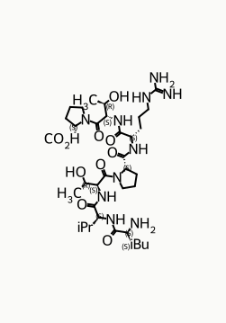 CC[C@H](C)[C@H](N)C(=O)N[C@H](C(=O)N[C@H](C(=O)N1CCC[C@H]1C(=O)N[C@@H](CCCNC(=N)N)C(=O)N[C@H](C(=O)N1CCC[C@H]1C(=O)O)[C@@H](C)O)[C@@H](C)O)C(C)C